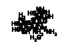 NCC[C@H](O)C(=O)N[C@@H]1C[C@H](N)[C@@H](O[C@H]2O[C@H](CN)[C@@H](O)[C@H](O)[C@H]2O)[C@H](O)[C@H]1O[C@H]1O[C@H](CO)[C@@H](O)[C@H](N)[C@H]1O.O